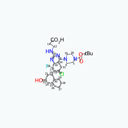 CC(C)(C)OC(=O)N1CCN(c2nc(NCCC(=O)O)nc3c(F)c(-c4cc(O)cc5ccccc45)c(Cl)cc23)CC1